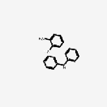 Cc1ccccc1C.c1ccc(Pc2ccccc2)cc1